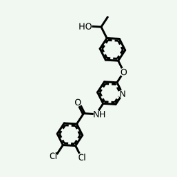 CC(O)c1ccc(Oc2ccc(NC(=O)c3ccc(Cl)c(Cl)c3)cn2)cc1